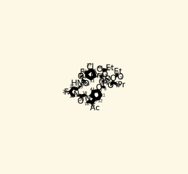 CCC(=O)OC(OP(=O)(COc1ccc2c(C(C)=O)cn(CC(=O)N3C[C@H](F)C[C@H]3CNS(=O)(=O)c3cccc(Cl)c3F)c2c1)OC(OC(=O)CC)C(C)C)C(C)C